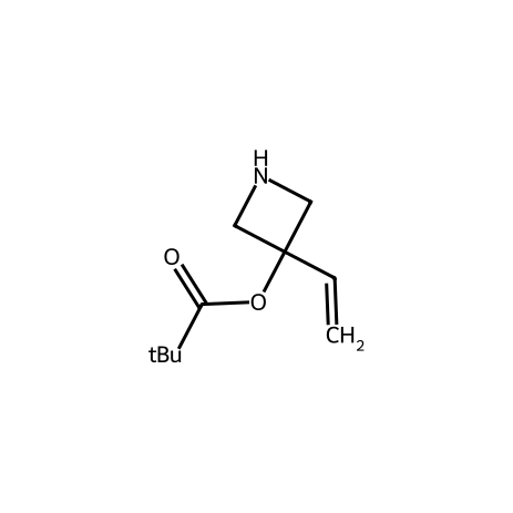 C=CC1(OC(=O)C(C)(C)C)CNC1